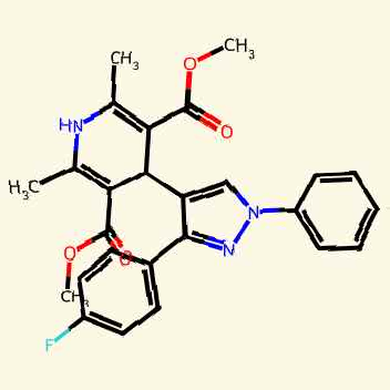 COC(=O)C1=C(C)NC(C)=C(C(=O)OC)C1c1cn(-c2ccccc2)nc1-c1ccc(F)cc1